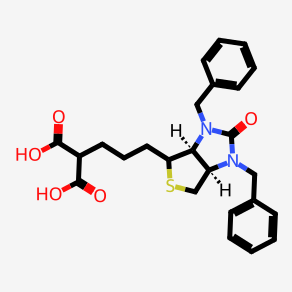 O=C(O)C(CCCC1SC[C@H]2[C@@H]1N(Cc1ccccc1)C(=O)N2Cc1ccccc1)C(=O)O